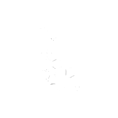 CCN(CCO)CCC(F)(F)OC1=CCC(C2=CC([S+]([O-])C3CC3)=CCC2)C2=C1NC1=NC=C(Cl)CC12